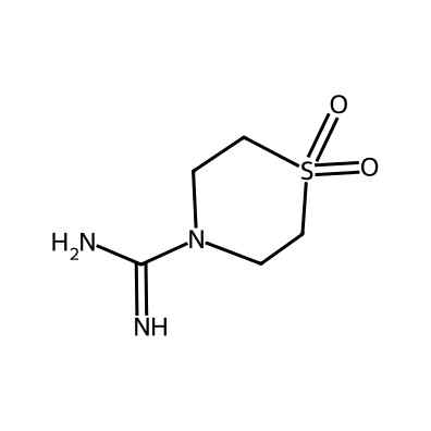 N=C(N)N1CCS(=O)(=O)CC1